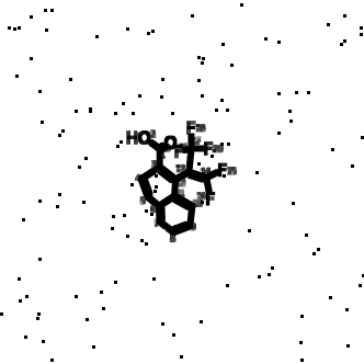 O=C(O)c1ccc2ccccc2c1C(=C(F)F)C(F)(F)F